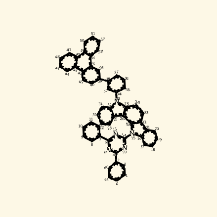 c1ccc(-c2nc(-c3ccccc3)nc(-n3c4ccccc4c4ccc5c(c6ccccc6n5-c5cccc(-c6ccc7c8ccccc8c8ccccc8c7c6)c5)c43)n2)cc1